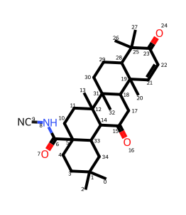 CC1(C)CCC2(C(=O)NC#N)CCC3(C)C(C(=O)CC4C5(C)C=CC(=O)C(C)(C)C5CCC43C)C2C1